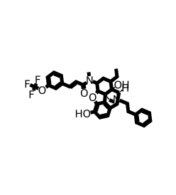 CCC1CC(N(C)C(=O)/C=C/c2cccc(OC(F)(F)F)c2)C2Oc3c(O)ccc4c3[C@@]23CCN(CCc2ccccc2)[C@H](C4)[C@]13O